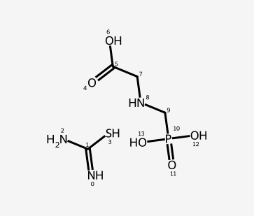 N=C(N)S.O=C(O)CNCP(=O)(O)O